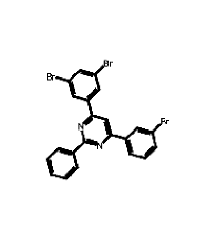 Brc1cccc(-c2cc(-c3cc(Br)cc(Br)c3)nc(-c3ccccc3)n2)c1